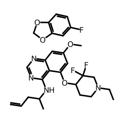 C=CCC(C)Nc1ncnc2cc(OC)cc(OC3CCN(CC)CC3(F)F)c12.Fc1ccc2c(c1)OCO2